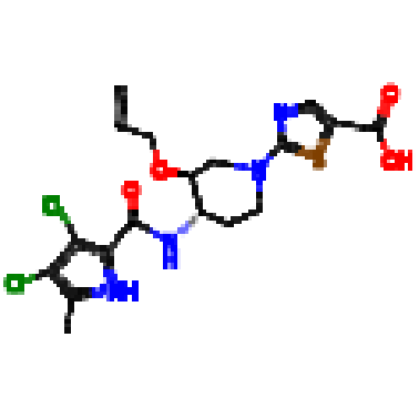 C=CCO[C@H]1CN(c2ncc(C(=O)O)s2)CC[C@@H]1NC(=O)c1[nH]c(C)c(Cl)c1Cl